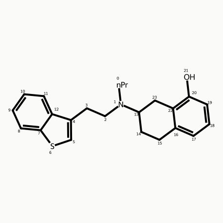 CCCN(CCc1csc2ccccc12)C1CCc2cccc(O)c2C1